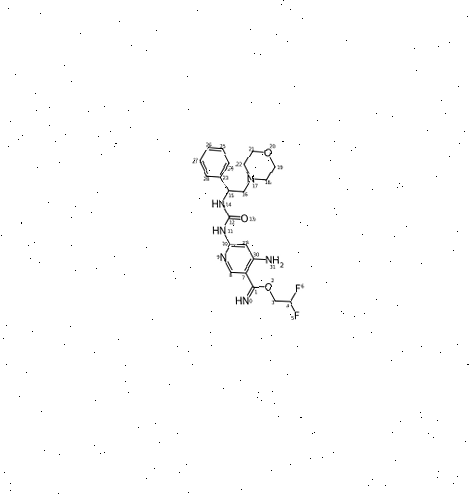 N=C(OCC(F)F)c1cnc(NC(=O)NC(CN2CCOCC2)c2ccccc2)cc1N